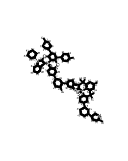 Cc1ccc(-c2cc(-c3ccc(C)cc3)c3c4c2Oc2cc(-c5ccc(C)c(-c6ccc7c8c(sc7c6)P6(=S)c7ccc(-c9cccc(-c%10ccc(C)nc%10)c9)cc7C(C)(C)c7cc(C)cc(c76)C8(C)C)c5)ccc2P4(=O)c2c(n(-c4ccccc4)c4ccccc24)O3)cc1